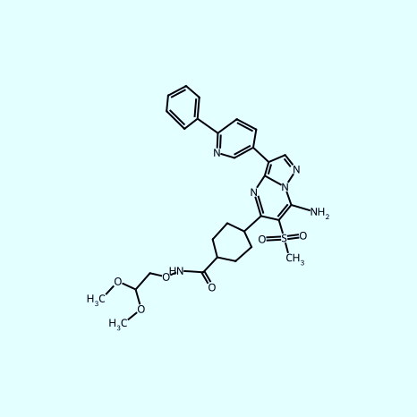 COC(CONC(=O)C1CCC(c2nc3c(-c4ccc(-c5ccccc5)nc4)cnn3c(N)c2S(C)(=O)=O)CC1)OC